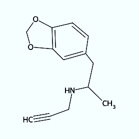 C#CCNC(C)Cc1ccc2c(c1)OCO2